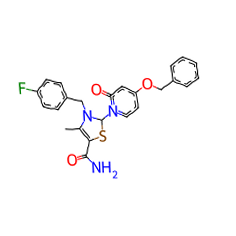 CC1=C(C(N)=O)SC(n2ccc(OCc3ccccc3)cc2=O)N1Cc1ccc(F)cc1